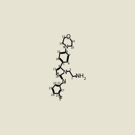 NCCn1c(-c2ccc(N3CCOCC3)cc2)csc1=Nc1cccc(F)c1